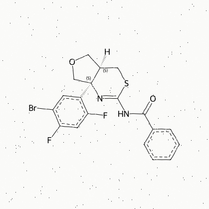 O=C(NC1=N[C@@]2(c3cc(Br)c(F)cc3F)COC[C@H]2CS1)c1ccccc1